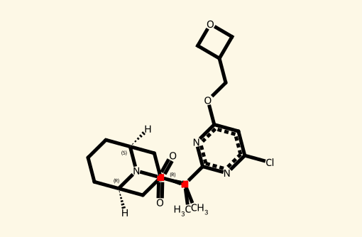 CCS(=O)(=O)N1[C@@H]2CCC[C@H]1C[C@@H](N(C)c1nc(Cl)cc(OCC3COC3)n1)C2